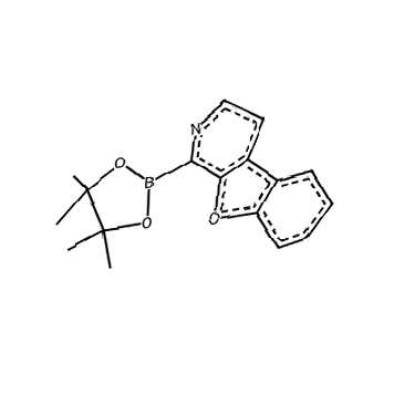 CC1(C)OB(c2nccc3c2oc2ccccc23)OC1(C)C